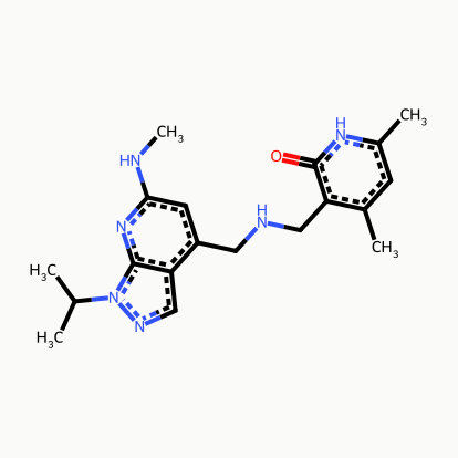 CNc1cc(CNCc2c(C)cc(C)[nH]c2=O)c2cnn(C(C)C)c2n1